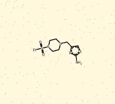 CCS(=O)(=O)N1CCN(Cc2csc(N)n2)CC1